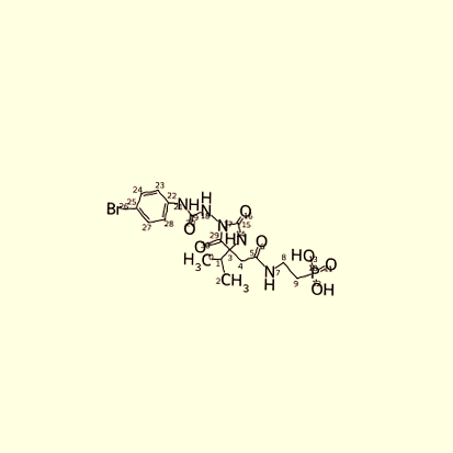 CC(C)C1(CC(=O)NCCP(=O)(O)O)NC(=O)N(NC(=O)Nc2ccc(Br)cc2)C1=O